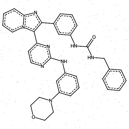 O=C(NCc1ccccc1)Nc1cccc(-c2nc3ccccn3c2-c2ccnc(Nc3cccc(N4CCOCC4)c3)n2)c1